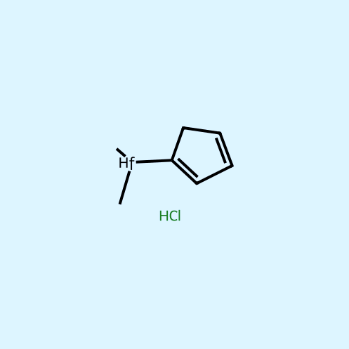 Cl.[CH3][Hf]([CH3])[C]1=CC=CC1